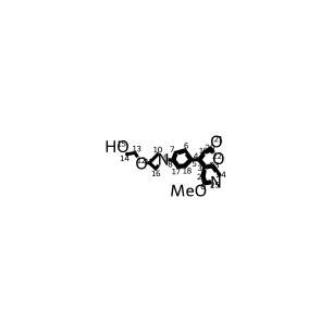 COc1cc2c(-c3ccc(N4CC(OCCO)C4)cc3)cc(=O)oc2cn1